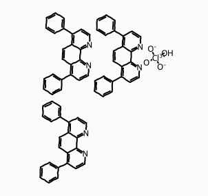 [O-][Cl+3]([O-])([O-])O.c1ccc(-c2ccnc3c2ccc2c(-c4ccccc4)ccnc23)cc1.c1ccc(-c2ccnc3c2ccc2c(-c4ccccc4)ccnc23)cc1.c1ccc(-c2ccnc3c2ccc2c(-c4ccccc4)ccnc23)cc1